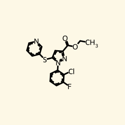 CCOC(=O)c1cc(Sc2cccnc2)n(-c2cccc(F)c2Cl)n1